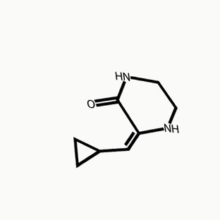 O=C1NCCNC1=CC1CC1